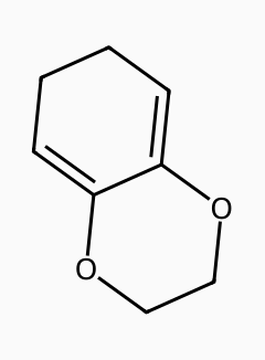 C1=C2OCCOC2=CCC1